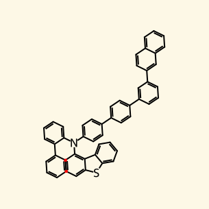 c1ccc(-c2ccccc2N(c2ccc(-c3ccc(-c4cccc(-c5ccc6ccccc6c5)c4)cc3)cc2)c2cccc3sc4ccccc4c23)cc1